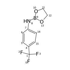 FC(F)(F)c1ccc(NB2OCCO2)cc1